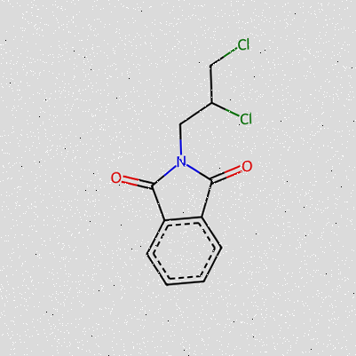 O=C1c2ccccc2C(=O)N1CC(Cl)CCl